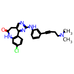 CN(C)CCC#Cc1cccc(Nc2ncc3c(n2)-c2ccc(Cl)cc2NC(=O)C3)c1